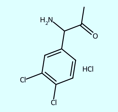 CC(=O)C(N)c1ccc(Cl)c(Cl)c1.Cl